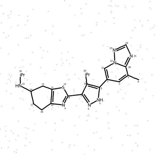 Cc1cc(-c2[nH]nc(-c3nc4c(s3)CC(NC(C)C)CC4)c2C(C)C)cn2ncnc12